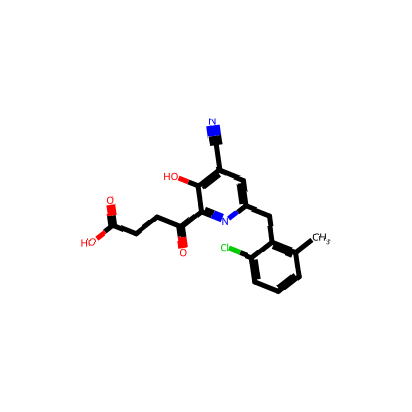 Cc1cccc(Cl)c1Cc1cc(C#N)c(O)c(C(=O)CCC(=O)O)n1